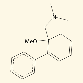 COC1(CN(C)C)CC=CC=C1c1ccccc1